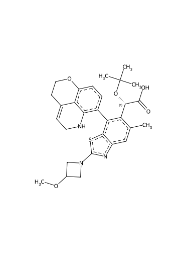 COC1CN(c2nc3cc(C)c([C@H](OC(C)(C)C)C(=O)O)c(-c4ccc5c6c4NCC=C6CCO5)c3s2)C1